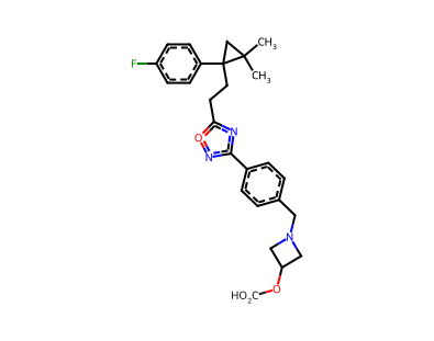 CC1(C)CC1(CCc1nc(-c2ccc(CN3CC(OC(=O)O)C3)cc2)no1)c1ccc(F)cc1